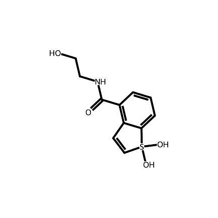 O=C(NCCO)c1cccc2c1C=CS2(O)O